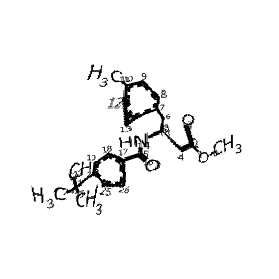 COC(=O)C[C@H](Cc1ccc(C)cc1)NC(=O)c1ccc(C(C)(C)C)cc1